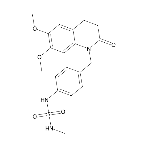 CNS(=O)(=O)Nc1ccc(CN2C(=O)CCc3cc(OC)c(OC)cc32)cc1